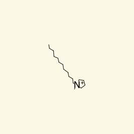 CCCCCCCCCCCC[N+]1(C)CCCC1